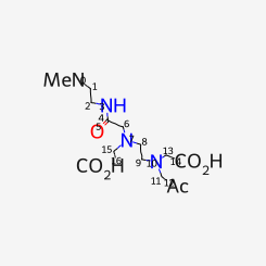 CNCCNC(=O)CN(CCN(CC(C)=O)CC(=O)O)CC(=O)O